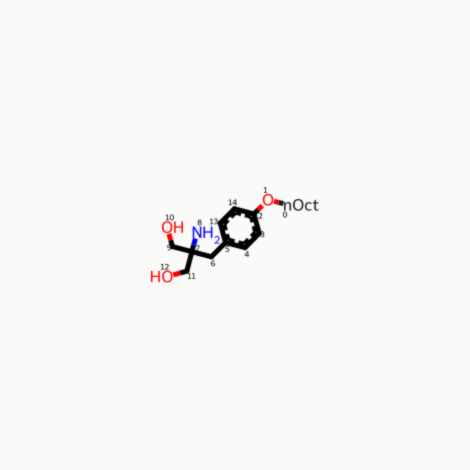 CCCCCCCCOc1ccc(CC(N)(CO)CO)cc1